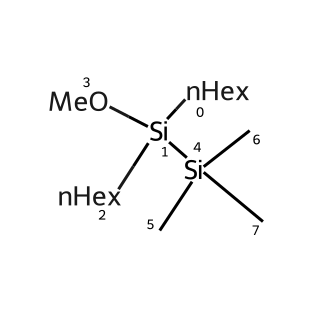 CCCCCC[Si](CCCCCC)(OC)[Si](C)(C)C